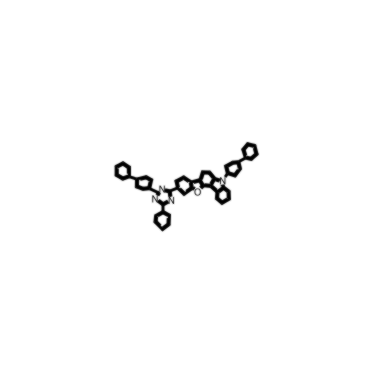 c1ccc(-c2ccc(-c3nc(-c4ccccc4)nc(-c4ccc5c(c4)oc4c5ccc5c4c4ccccc4n5-c4ccc(-c5ccccc5)cc4)n3)cc2)cc1